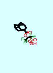 O=C(OC(C(F)(F)F)C(F)(F)S(=O)(=O)O)C12CC3CC4CC(C1)C4(C3)C2